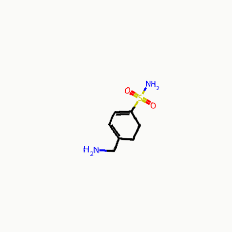 NCC1=CC=C(S(N)(=O)=O)CC1